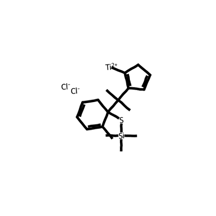 CC1=CC=CCC1(S[Si](C)(C)C)C(C)(C)C1=[C]([Ti+2])CC=C1.[Cl-].[Cl-]